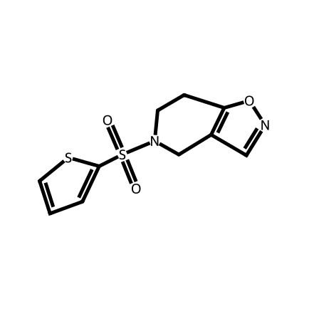 O=S(=O)(c1cccs1)N1CCc2oncc2C1